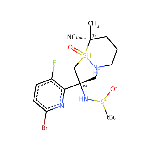 CC(C)(C)[S+]([O-])N[C@@](CF)(C[SH]1(=O)NCCC[C@@]1(C)C#N)c1nc(Br)ccc1F